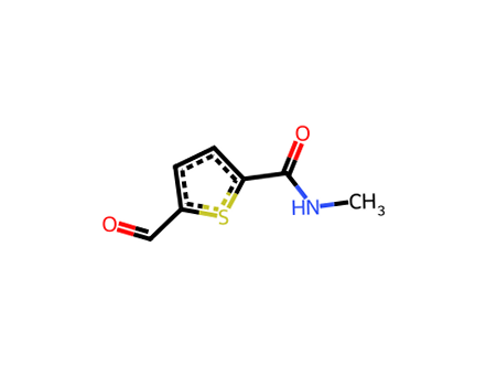 CNC(=O)c1ccc(C=O)s1